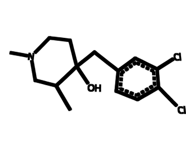 CC1CN(C)CCC1(O)Cc1ccc(Cl)c(Cl)c1